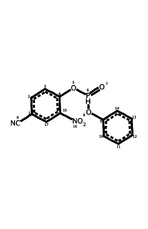 N#Cc1ccc(O[PH](=O)Oc2ccccc2)c([N+](=O)[O-])c1